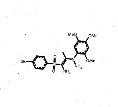 COc1cc(OC)c(N(N)/C(C)=C(\N)S(=O)(=O)c2ccc(C(C)(C)C)cc2)cc1OC